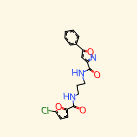 O=C(NCCCNC(=O)c1ccc(Cl)o1)c1cc(-c2ccccc2)on1